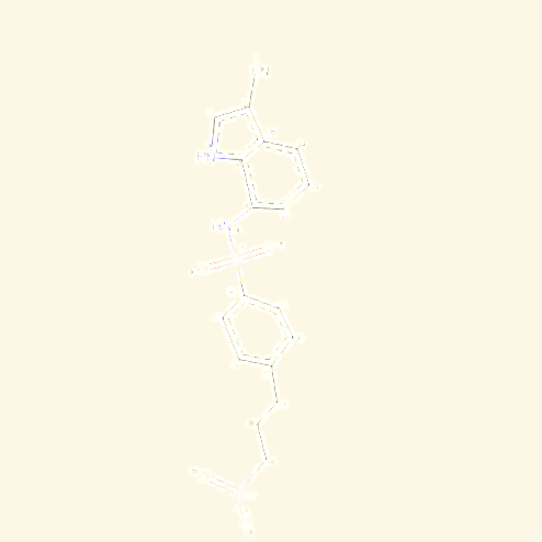 N#Cc1c[nH]c2c(NS(=O)(=O)c3ccc(CCC[SH](=O)=O)cc3)cccc12